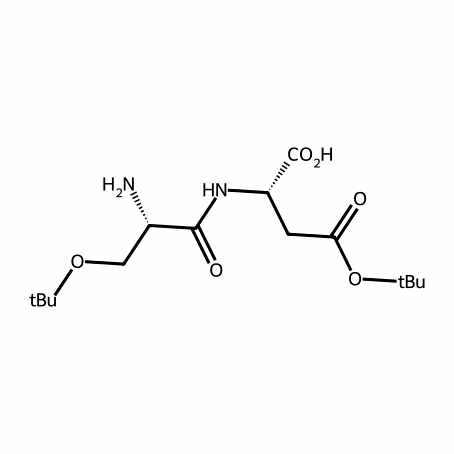 CC(C)(C)OC[C@H](N)C(=O)N[C@@H](CC(=O)OC(C)(C)C)C(=O)O